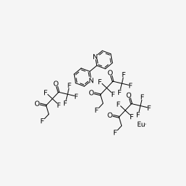 O=C(CF)C(F)(F)C(=O)C(F)(F)F.O=C(CF)C(F)(F)C(=O)C(F)(F)F.O=C(CF)C(F)(F)C(=O)C(F)(F)F.[Eu].c1ccc(-c2ccccn2)nc1